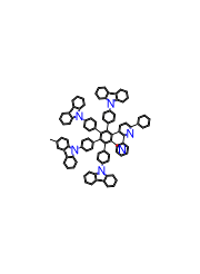 Cc1ccc2c(c1)c1ccccc1n2-c1ccc(-c2c(-c3ccc(-n4c5ccccc5c5ccccc54)cc3)c(C#N)c(-c3ccc(-c4ccccc4)nc3-c3ccccc3)c(-c3ccc(-n4c5ccccc5c5ccccc54)cc3)c2-c2ccc(-n3c4ccccc4c4ccccc43)cc2)cc1